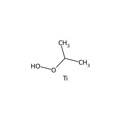 CC(C)OO.[Ti]